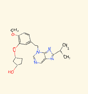 COc1ccc(Cn2cncc3nc(C(C)C)nc2-3)cc1OC1CCC(O)C1